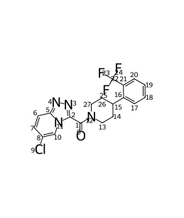 O=C(c1nnc2ccc(Cl)cn12)N1CCC(c2ccccc2C(F)(F)F)CC1